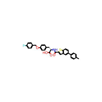 Cc1ccc(-c2ccc3sc(C(=O)N[C@@H](Cc4ccc(OCc5ccc(F)cc5)cc4)C(=O)O)cc3c2)cc1